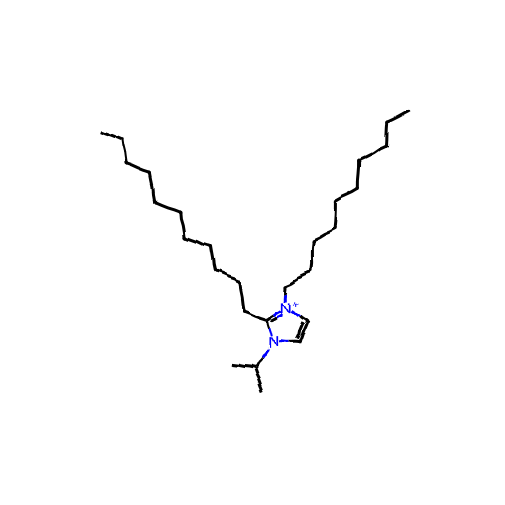 CCCCCCCCCCCc1n(C(C)C)cc[n+]1CCCCCCCCCC